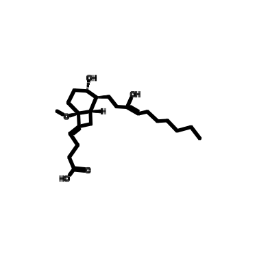 CCCCCCC=C(O)CC[C@@H]1[C@@H](O)CC[C@@]2(OC)/C(=C/CCC(=O)O)C[C@@H]12